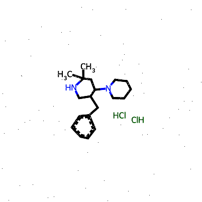 CC1(C)CC(N2CCCCC2)C(Cc2ccccc2)CN1.Cl.Cl